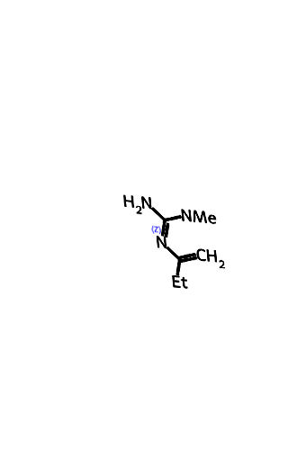 C=C(CC)/N=C(/N)NC